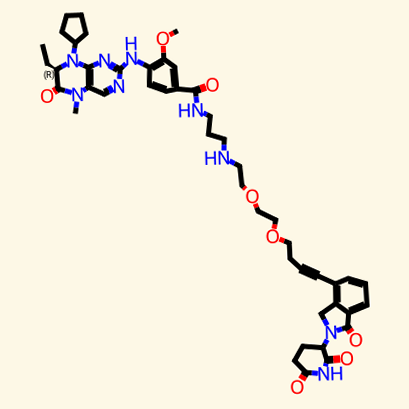 CC[C@@H]1C(=O)N(C)c2cnc(Nc3ccc(C(=O)NCCCNCCOCCOCCC#Cc4cccc5c4CN(C4CCC(=O)NC4=O)C5=O)cc3OC)nc2N1C1CCCC1